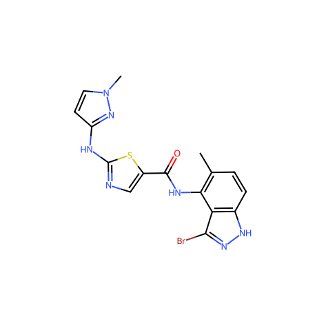 Cc1ccc2[nH]nc(Br)c2c1NC(=O)c1cnc(Nc2ccn(C)n2)s1